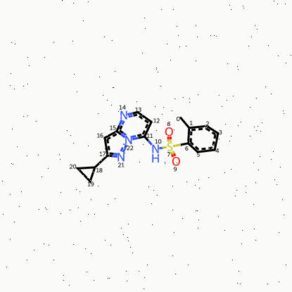 Cc1ccccc1S(=O)(=O)Nc1ccnc2cc(C3CC3)nn12